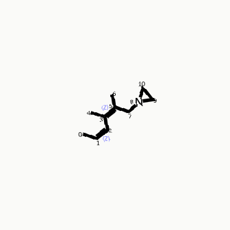 C/C=C\C(C)=C(\C)CN1CC1